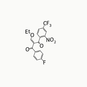 CCOC=C(C(=O)c1ccc(F)cc1)C(=O)c1ccc(C(F)(F)F)cc1[N+](=O)[O-]